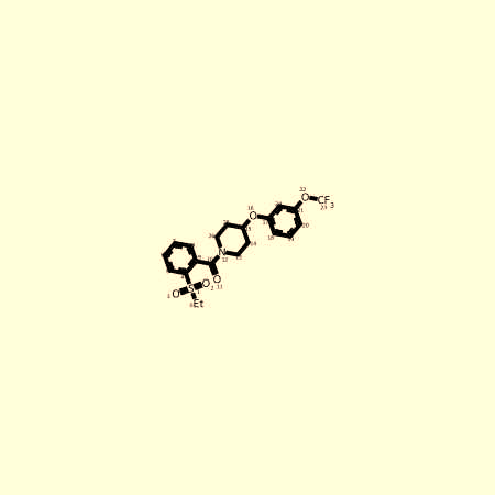 CCS(=O)(=O)c1ccccc1C(=O)N1CCC(Oc2cccc(OC(F)(F)F)c2)CC1